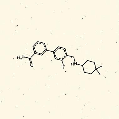 CC1(C)CCC(NCc2ccc(-c3cccc(C(N)=O)c3)cc2F)CC1